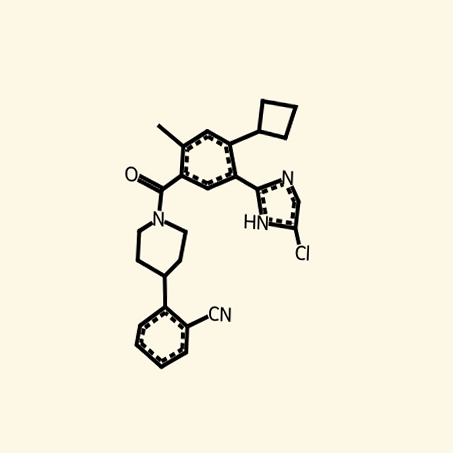 Cc1cc(C2CCC2)c(-c2ncc(Cl)[nH]2)cc1C(=O)N1CCC(c2ccccc2C#N)CC1